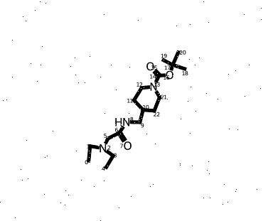 CCN(CC)CC(=O)NCC1CCN(C(=O)OC(C)(C)C)CC1